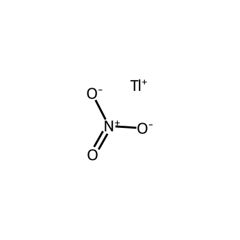 O=[N+]([O-])[O-].[Tl+]